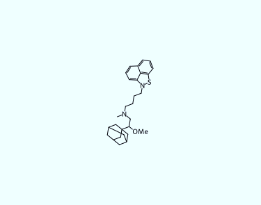 COC(CN(C)CCCCN1Sc2cccc3cccc1c23)C12CC3CC(CC(C3)C1)C2